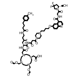 C#C[C@H]1CC(F)(F)CN1C(=O)CNC(=O)c1ccnc2ccc(OCCCCN3CCN(C(=O)CC(=O)NC(=O)[C@H](CC(F)CCNC(=O)CCCc4ccc(C)cc4)NC(=O)CN4CCN(COC=O)CCN(COC=O)CCN(CC(=O)O)CC4)CC3)cc12